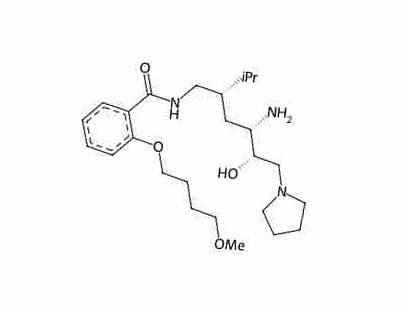 COCCCCOc1ccccc1C(=O)NC[C@@H](C[C@H](N)[C@@H](O)CN1CCCC1)C(C)C